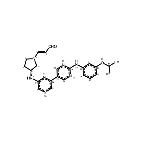 O=CC=CN1CC[C@H](Nc2cncc(-c3cnc(Nc4cccc(OC(F)F)c4)nc3)n2)C1